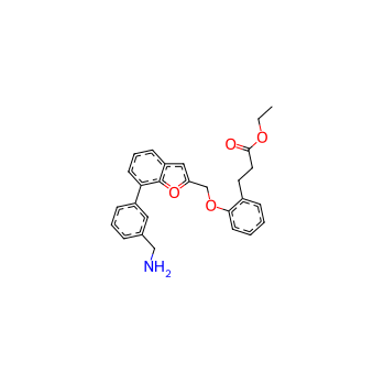 CCOC(=O)CCc1ccccc1OCc1cc2cccc(-c3cccc(CN)c3)c2o1